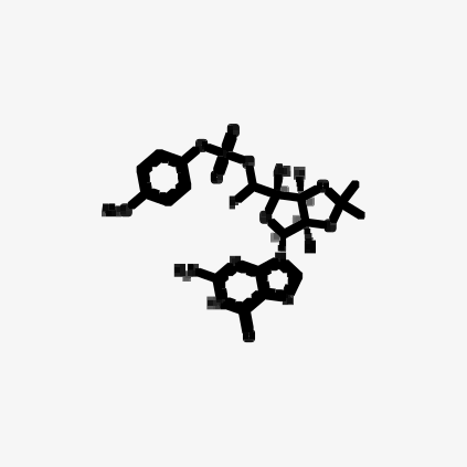 COc1ccc(OS(=O)(=O)OC(F)[C@@]2(C(C)=O)O[C@@H](n3cnc4c(=O)[nH]c(N)nc43)[C@@H]3OC(C)(C)O[C@@H]32)cc1